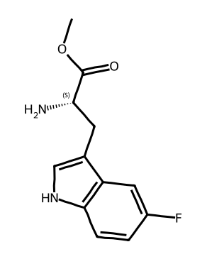 COC(=O)[C@@H](N)Cc1c[nH]c2ccc(F)cc12